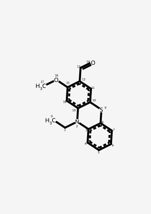 CCN1c2ccccc2Sc2cc(C=O)c(OC)cc21